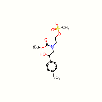 CC(C)(C)OC(=O)N(CCOS(C)(=O)=O)CC(O)c1ccc([N+](=O)[O-])cc1